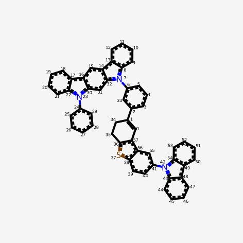 C1=C(c2cccc(-n3c4ccccc4c4cc5c6ccccc6n(-c6ccccc6)c5cc43)c2)CCc2sc3ccc(-n4c5ccccc5c5ccccc54)cc3c21